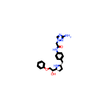 Nc1ncn(CC(=O)Nc2ccc(C[C@@H]3CC[C@H]([C@H](O)COc4ccccc4)N3)cc2)n1